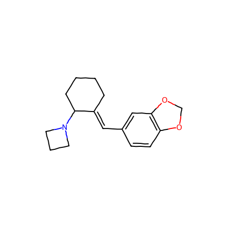 C(=C1CCCCC1N1CCC1)c1ccc2c(c1)OCO2